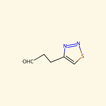 O=[C]CCc1csnn1